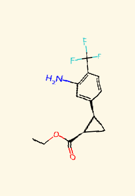 CCOC(=O)[C@@H]1C[C@@H]1c1ccc(C(F)(F)F)c(N)c1